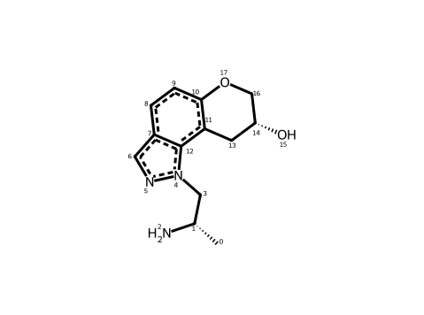 C[C@H](N)Cn1ncc2ccc3c(c21)C[C@@H](O)CO3